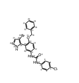 O=C(Nc1ccc(Cl)cc1)Nc1ccc(OCc2ccccc2)c(-c2[nH]ncc2Br)c1